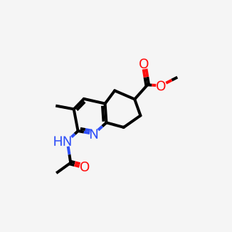 COC(=O)C1CCc2nc(NC(C)=O)c(C)cc2C1